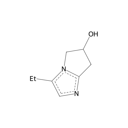 CCc1cnc2n1CC(O)C2